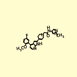 COc1ccc(F)cc1-c1ccnc2[nH]c(C3=CCN(CC(=O)Nc4cnn(C)c4)CC3)cc12